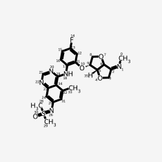 C/N=C1/CO[C@H]2C1OC[C@H]2Oc1cc(F)ccc1Nc1ncnc2cc(N=S(C)(C)=O)cc(C)c12